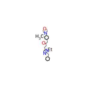 CCn1c(CCC(=O)Cc2ccc(N3CCOCC3)c(C)c2)cnc1Cc1ccccc1